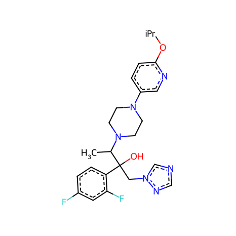 CC(C)Oc1ccc(N2CCN(C(C)C(O)(Cn3cncn3)c3ccc(F)cc3F)CC2)cn1